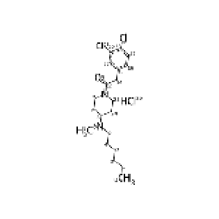 CCCCCCN(C)C1CCN(C(=O)Cc2ccc(Cl)c(Cl)c2)CC1.Cl